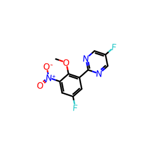 COc1c(-c2ncc(F)cn2)cc(F)cc1[N+](=O)[O-]